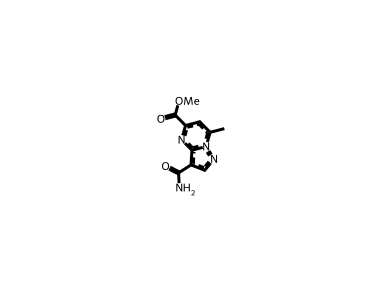 COC(=O)c1cc(C)n2ncc(C(N)=O)c2n1